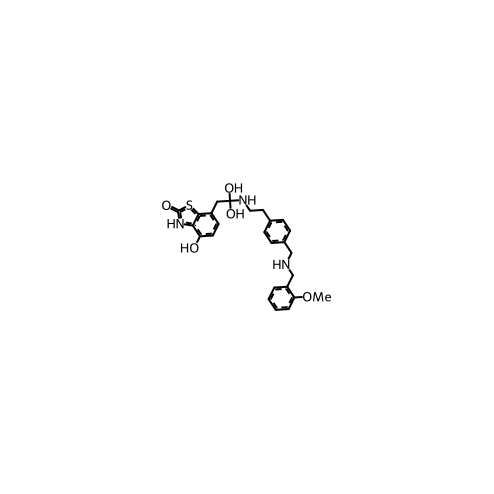 COc1ccccc1CNCc1ccc(CCNC(O)(O)Cc2ccc(O)c3[nH]c(=O)sc23)cc1